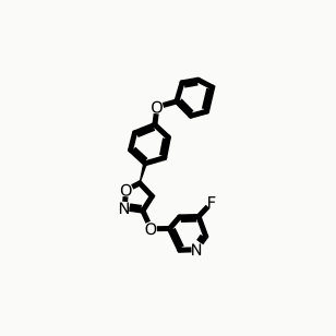 Fc1cncc(OC2=NO[C@@H](c3ccc(Oc4ccccc4)cc3)C2)c1